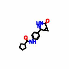 O=C(Nc1ccc(C2=NNC(=O)C3CC23)cc1)C1CCCC1